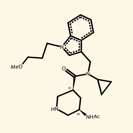 COCCCn1cc(CN(C(=O)[C@@H]2CNC[C@H](NC(C)=O)C2)C2CC2)c2ccccc21